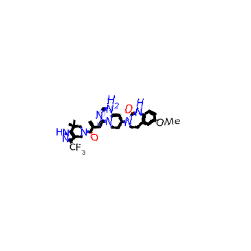 C=C(/C=C(\N=C/N)N1CCC(N2CCc3cc(OC)ccc3NC2=O)CC1)C(=O)N1Cc2c(C(F)(F)F)n[nH]c2C(C)(C)C1